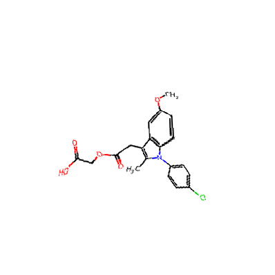 COc1ccc2c(c1)c(CC(=O)OCC(=O)O)c(C)n2-c1ccc(Cl)cc1